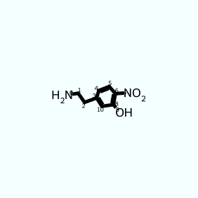 NCCc1ccc([N+](=O)[O-])c(O)c1